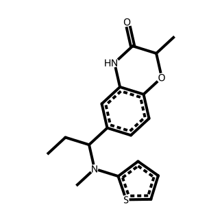 CCC(c1ccc2c(c1)NC(=O)C(C)O2)N(C)c1cccs1